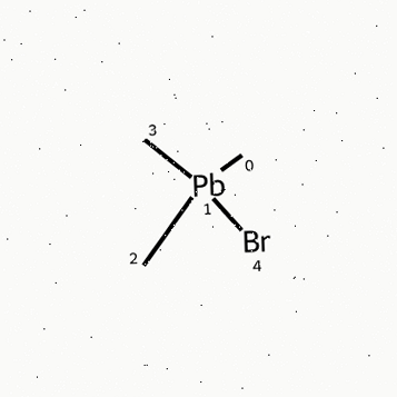 [CH3][Pb]([CH3])([CH3])[Br]